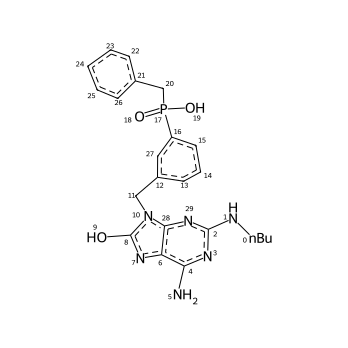 CCCCNc1nc(N)c2nc(O)n(Cc3cccc(P(=O)(O)Cc4ccccc4)c3)c2n1